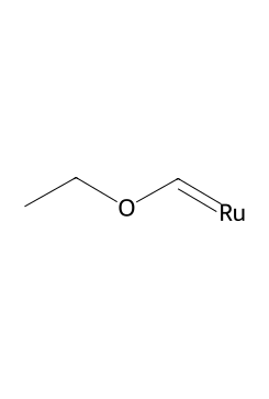 CCO[CH]=[Ru]